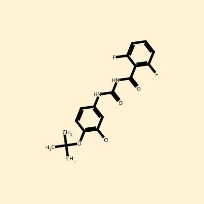 CC(C)(C)Oc1ccc(NC(=O)NC(=O)c2c(F)cccc2F)cc1Cl